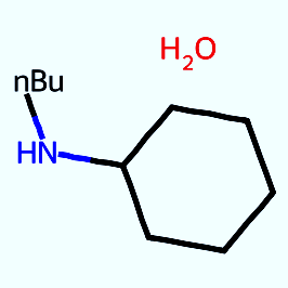 CCCCNC1CCCCC1.O